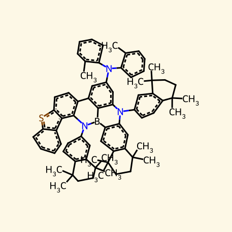 Cc1ccccc1N(c1cc2c3c(c1)N(c1ccc4c(c1)C(C)(C)CCC4(C)C)c1cc4c(cc1B3N(c1ccc3c(c1)C(C)(C)CCC3(C)C)c1c-2ccc2sc3ccccc3c12)C(C)(C)CCC4(C)C)c1ccccc1C